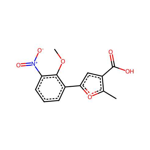 COc1c(-c2cc(C(=O)O)c(C)o2)cccc1[N+](=O)[O-]